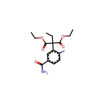 CCOC(=O)C(CC)(C(=O)OCC)c1cc(C(N)=O)ccc1I